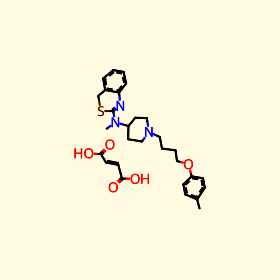 Cc1ccc(OCCCCN2CCC(N(C)C3=Nc4ccccc4CS3)CC2)cc1.O=C(O)C=CC(=O)O